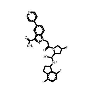 NC(=O)c1nn(CC(=O)N2CC(F)CC2C(O)NC2CCc3c(F)ccc(F)c32)c2ccc(-c3ccnnc3)cc12